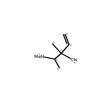 C=CC(C)(C#N)C(C)NC